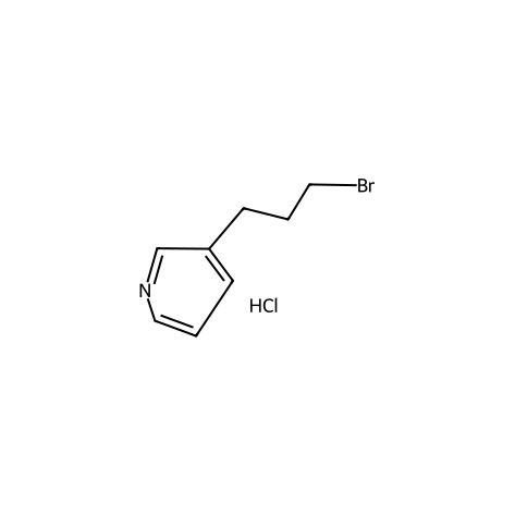 BrCCCc1cccnc1.Cl